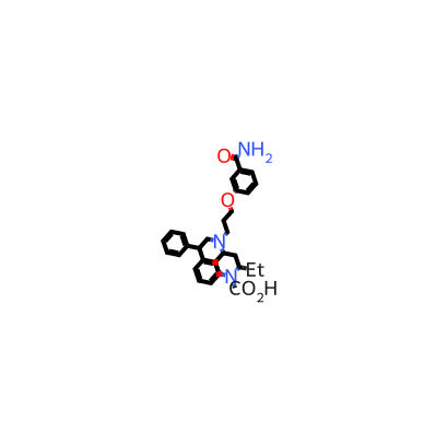 CCC1CC(N(CCCOc2cccc(C(N)=O)c2)CC(c2ccccc2)c2ccccc2)CCN1C(=O)O